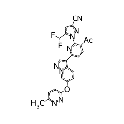 CC(=O)c1ccc(-c2cnn3cc(Oc4ccc(C)nn4)ccc23)nc1-n1nc(C#N)cc1C(F)F